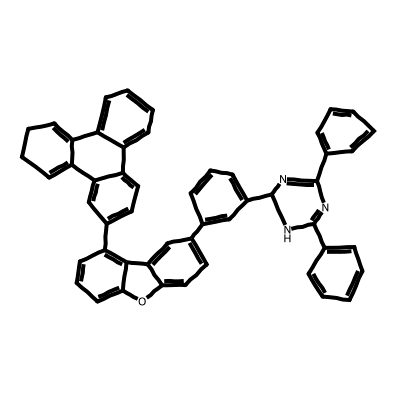 C1=c2c(c3cc(-c4cccc5oc6ccc(-c7cccc(C8N=C(c9ccccc9)N=C(c9ccccc9)N8)c7)cc6c45)ccc3c3ccccc23)=CCC1